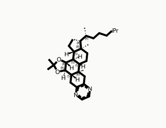 CC(C)CCC[C@@H](C)[C@H]1CC[C@H]2[C@@H]3[C@H]4OC(C)(C)O[C@@H]4[C@H]4Cc5nccnc5C[C@]4(C)[C@H]3CC[C@]12C